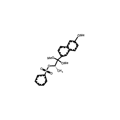 COc1ccc2cc(C(OC)(OC)[C@H](C)OS(=O)(=O)c3ccccc3)ccc2c1